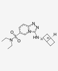 CCN(CC)S(=O)(=O)c1ccc2nnc(N[C@@H]3C[C@H]4CCC43)n2c1